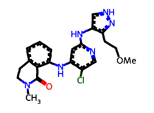 COCCc1n[nH]cc1Nc1cc(Nc2cccc3c2C(=O)N(C)CC3)c(Cl)cn1